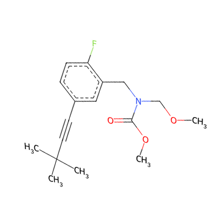 COCN(Cc1cc(C#CC(C)(C)C)ccc1F)C(=O)OC